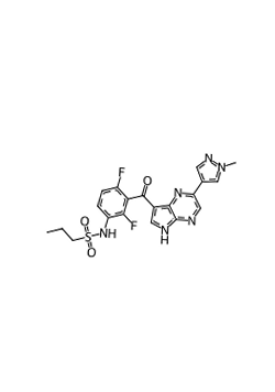 CCCS(=O)(=O)Nc1ccc(F)c(C(=O)c2c[nH]c3ncc(-c4cnn(C)c4)nc23)c1F